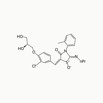 CCC/N=C1/N(c2ccccc2C)C(=O)/C(=C\c2ccc(OC[C@@H](O)CO)c(Cl)c2)[S+]1[O-]